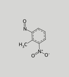 Cc1c(N=O)cccc1[N+](=O)[O-]